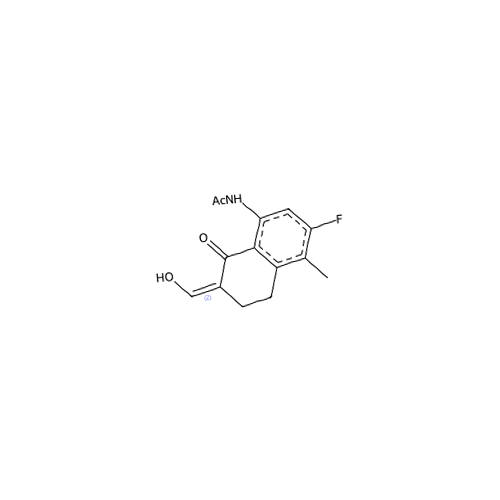 CC(=O)Nc1cc(F)c(C)c2c1C(=O)/C(=C\O)CC2